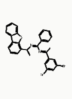 C/C(=N\C(=N/C(C)c1cccc2c1sc1ccccc12)c1ccccc1)c1cc(Br)cc(Br)c1